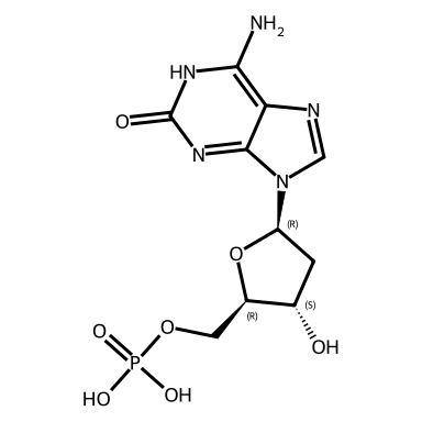 Nc1[nH]c(=O)nc2c1ncn2[C@H]1C[C@H](O)[C@@H](COP(=O)(O)O)O1